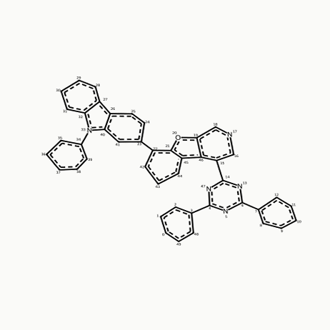 c1ccc(-c2nc(-c3ccccc3)nc(-c3cncc4oc5c(-c6ccc7c8ccccc8n(-c8ccccc8)c7c6)cccc5c34)n2)cc1